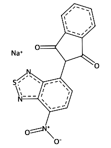 O=C1c2ccccc2C(=O)C1c1ccc([N+](=O)[O-])c2nsnc12.[Na+]